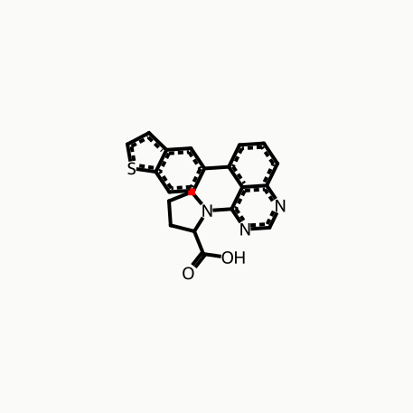 O=C(O)C1CCCN1c1ncnc2cccc(-c3ccc4sccc4c3)c12